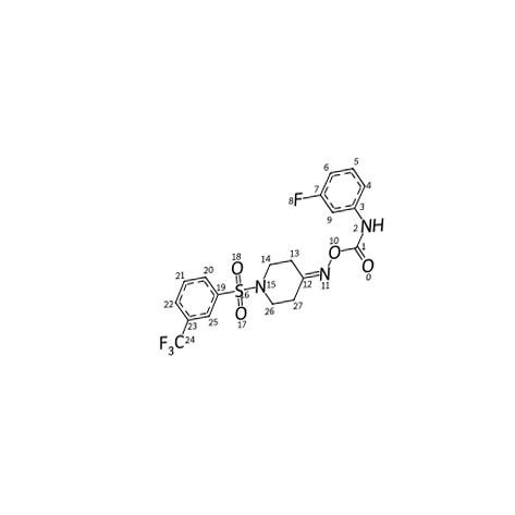 O=C(Nc1cccc(F)c1)ON=C1CCN(S(=O)(=O)c2cccc(C(F)(F)F)c2)CC1